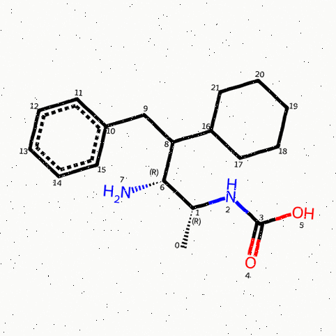 C[C@@H](NC(=O)O)[C@H](N)C(Cc1ccccc1)C1CCCCC1